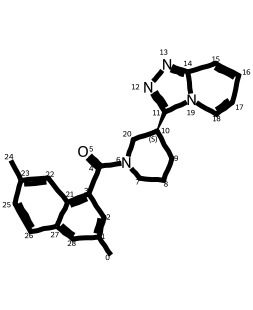 Cc1cc(C(=O)N2CCC[C@H](c3nnc4ccccn34)C2)c2cc(C)ccc2c1